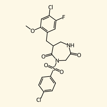 COc1cc(Cl)c(F)cc1CC1CNC(=O)CN(S(=O)(=O)c2ccc(Cl)cc2)C1=O